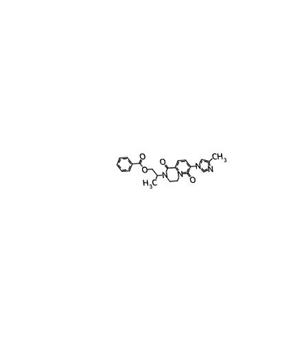 Cc1cn(-c2ccc3n(c2=O)CCN(C(C)COC(=O)c2ccccc2)C3=O)cn1